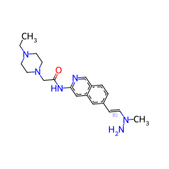 CCN1CCN(CC(=O)Nc2cc3cc(/C=C/N(C)N)ccc3cn2)CC1